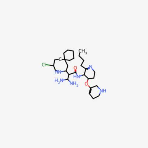 CCCCC1=NCCC(OC2=CCCNC2)C1NC(=O)C(C(N)N)C1CC2(CCCCC2)CCC(Cl)CN1